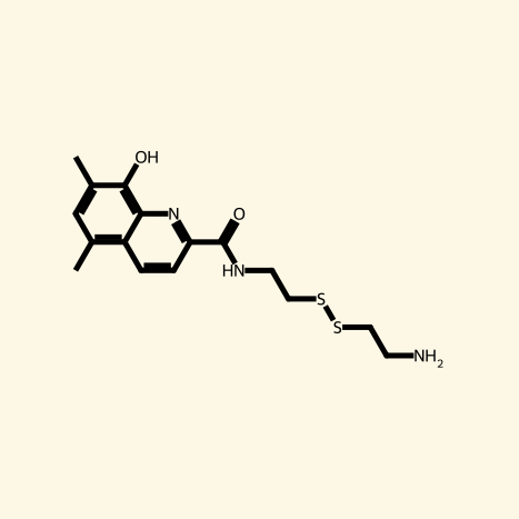 Cc1cc(C)c2ccc(C(=O)NCCSSCCN)nc2c1O